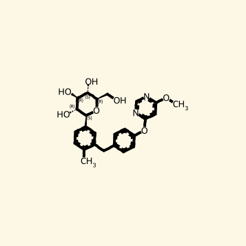 COc1cc(Oc2ccc(Cc3cc([C@@H]4O[C@H](CO)[C@@H](O)[C@H](O)[C@H]4O)ccc3C)cc2)ncn1